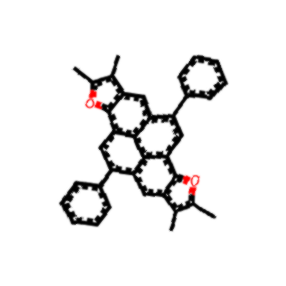 Cc1oc2c(cc3c(-c4ccccc4)cc4c5oc(C)c(C)c5cc5c(-c6ccccc6)cc2c3c54)c1C